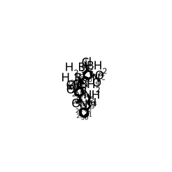 BC(B)(Cl)c1cc([N+](=O)[O-])cc(C(B)(B)Oc2cc3c(cc2OC)C(=O)N2c4ccc#cc4C[C@H]2CN3)c1